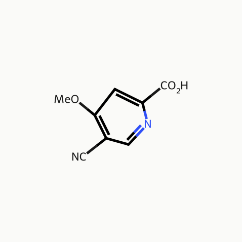 COc1cc(C(=O)O)ncc1C#N